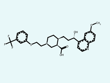 COc1ccc2nccc([C@@H](O)CC[C@@H]3CCN(CCSc4cccc(C(F)(F)F)c4)C[C@@H]3C(=O)O)c2c1